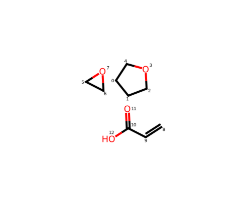 C1CCOC1.C1CO1.C=CC(=O)O